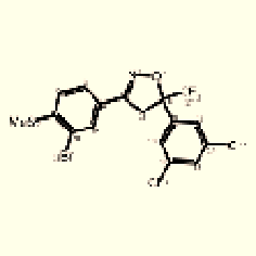 CSc1ccc(C2=NOC(c3cc(Cl)cc(Cl)c3)(C(F)(F)F)C2)cc1Br